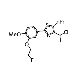 CCCc1sc(-c2ccc(OC)c(OCCF)c2)nc1C(C)Cl